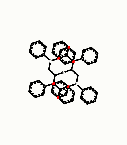 c1ccc(P(C[CH]([Ir][CH](CP(c2ccccc2)c2ccccc2)P(c2ccccc2)c2ccccc2)P(c2ccccc2)c2ccccc2)c2ccccc2)cc1